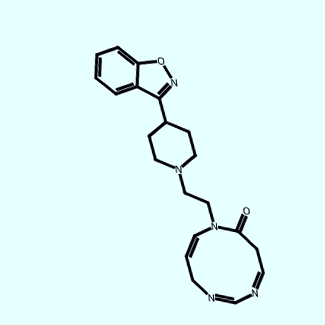 O=C1C/C=N\C=N/C/C=C\N1CCN1CCC(c2noc3ccccc23)CC1